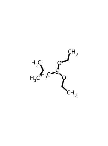 CCC.CCO[Si](C)OCC